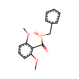 COc1cccc(OC)c1C(=O)[PH](=O)Cc1ccccc1